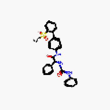 CS(=O)(=O)c1ccccc1-c1ccc(NC(=O)C(NC(=O)Nc2ccccc2)c2ccccc2)cc1